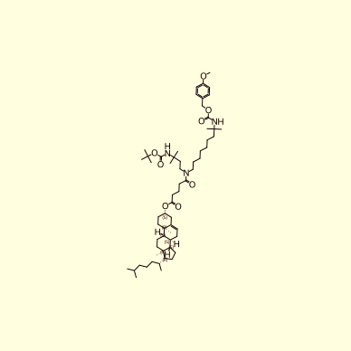 COc1ccc(COC(=O)NC(C)(C)CCCCCCCN(CCC(C)(C)NC(=O)OC(C)(C)C)C(=O)CCCC(=O)O[C@H]2CC[C@@]3(C)C(=CC[C@H]4[C@@H]5CC[C@H](C(C)CCCC(C)C)[C@@]5(C)CC[C@@H]43)C2)cc1